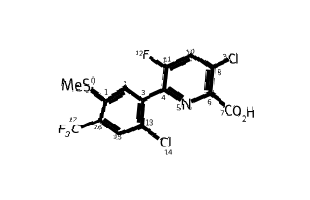 CSc1cc(-c2nc(C(=O)O)c(Cl)cc2F)c(Cl)cc1C(F)(F)F